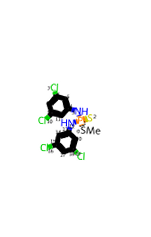 CSP(=S)(Nc1cc(Cl)cc(Cl)c1)Nc1cc(Cl)cc(Cl)c1